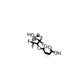 O=C(O)/C=C\C(=O)OC(C(F)(F)F)C(F)(F)S(=O)(=O)O